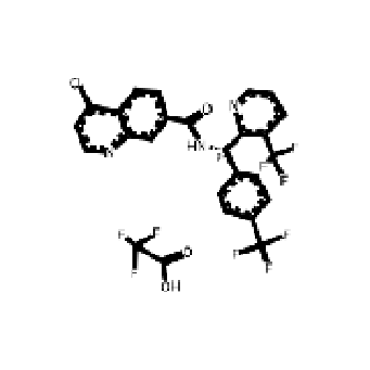 O=C(N[C@@H](c1ccc(C(F)(F)F)cc1)c1ncccc1C(F)(F)F)c1ccc2c(Cl)ccnc2c1.O=C(O)C(F)(F)F